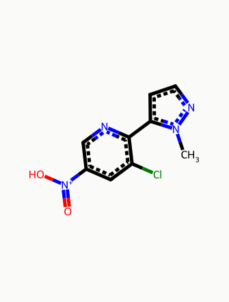 Cn1nccc1-c1ncc([N+](=O)O)cc1Cl